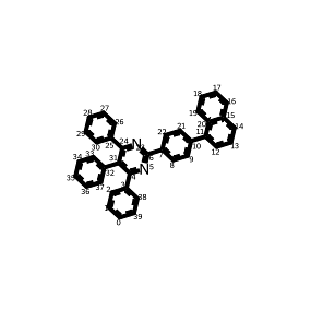 c1ccc(-c2nc(-c3ccc(-c4cccc5ccccc45)cc3)nc(-c3ccccc3)c2-c2ccccc2)cc1